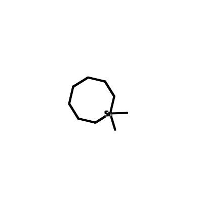 [CH3][Sn]1([CH3])[CH2]CCCCC[CH2]1